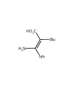 CCCC([SiH3])=C(C(=O)O)C(C)(C)C